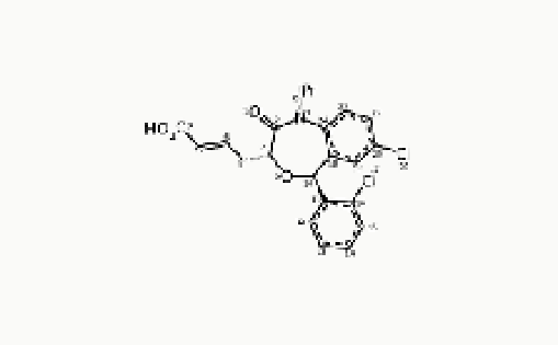 CC(C)N1C(=O)[C@@H](CC=CC(=O)O)O[C@H](c2ccccc2Cl)c2cc(Cl)ccc21